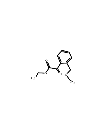 CCOC(=O)C(=O)c1ccccc1COC